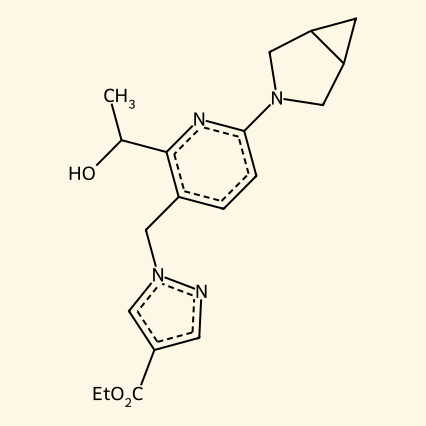 CCOC(=O)c1cnn(Cc2ccc(N3CC4CC4C3)nc2C(C)O)c1